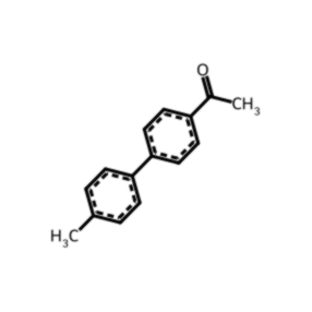 CC(=O)c1ccc(-c2ccc(C)cc2)cc1